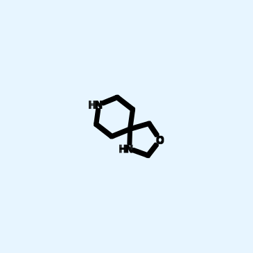 C1CC2(CCN1)COCN2